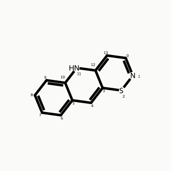 C1=NSC2=Cc3ccccc3NC2=C1